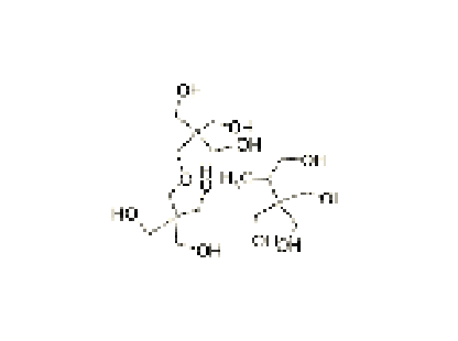 CC(CO)C(CO)(CO)CO.OCC(CO)(CO)COCC(CO)(CO)CO